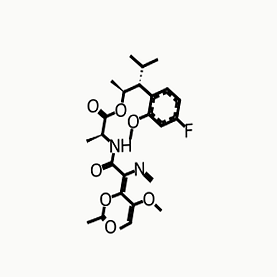 C=N/C(C(=O)N[C@@H](C)C(=O)O[C@@H](C)[C@@H](c1ccc(F)cc1OC)C(C)C)=C(OC(C)=O)\C(=C/C)OC